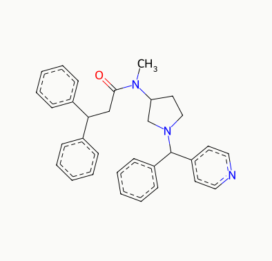 CN(C(=O)CC(c1ccccc1)c1ccccc1)C1CCN(C(c2ccccc2)c2ccncc2)C1